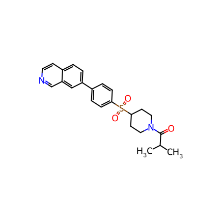 CC(C)C(=O)N1CCC(S(=O)(=O)c2ccc(-c3ccc4ccncc4c3)cc2)CC1